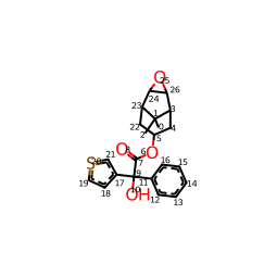 CC1(C)C2CC(OC(=O)C(O)(c3ccccc3)c3ccsc3)CC1C1OC12